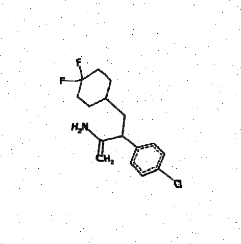 C=C(N)C(CC1CCC(F)(F)CC1)c1ccc(Cl)cc1